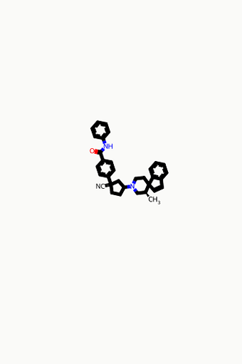 C[C@H]1CN(C2CCC(C#N)(c3ccc(C(=O)Nc4ccccc4)cc3)C2)CCC12C=Cc1ccccc12